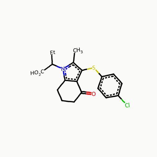 CCC(C(=O)O)n1c(C)c(Sc2ccc(Cl)cc2)c2c1CCCC2=O